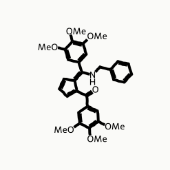 COc1cc(C(=O)C2=CC=CC2=C(NCc2ccccc2)c2cc(OC)c(OC)c(OC)c2)cc(OC)c1OC